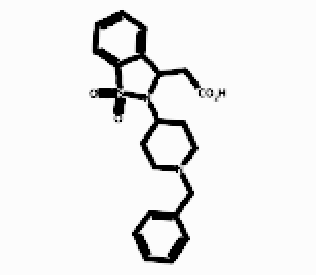 O=C(O)CC1c2ccccc2S(=O)(=O)N1C1CCN(Cc2ccccc2)CC1